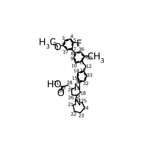 COc1ccc(F)c(-c2ccc(Cc3ccc(N4C[C@@H](N5CCCCC5)C[C@@H]4CC(=O)O)cc3)c(C)c2)c1